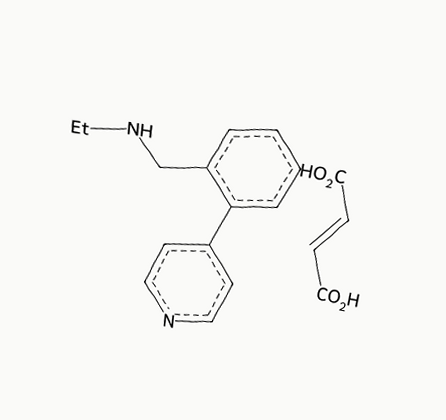 CCNCc1ccccc1-c1ccncc1.O=C(O)/C=C/C(=O)O